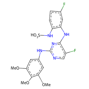 COc1cc(Nc2ncc(F)c(Nc3cc(F)ccc3NS(=O)(=O)O)n2)cc(OC)c1OC